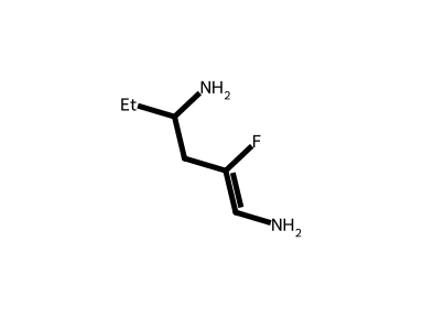 CCC(N)CC(F)=CN